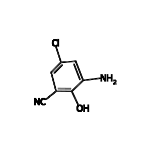 N#Cc1cc(Cl)cc(N)c1O